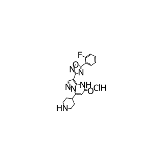 Cl.O=c1cc(C2CCNCC2)n2ncc(-c3noc(-c4ccccc4F)n3)c2[nH]1